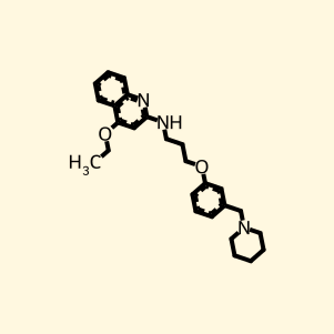 CCOc1cc(NCCCOc2cccc(CN3CCCCC3)c2)nc2ccccc12